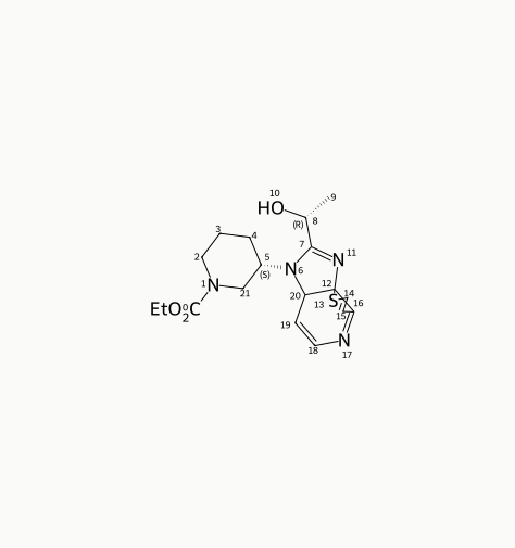 CCOC(=O)N1CCC[C@H](N2C([C@@H](C)O)=NC34SC=CC3=NC=CC24)C1